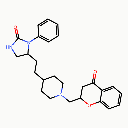 O=C1CC(CN2CCC(CCC3CNC(=O)N3c3ccccc3)CC2)Oc2ccccc21